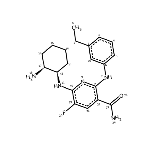 CCc1cccc(Nc2nc(N[C@@H]3CCCC[C@@H]3N)c(F)cc2C(N)=O)c1